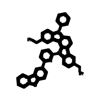 CC(C)Cc1ccc2c(c1)c1c(ccc3c4cc(CC(C)C)ccc4n(-c4cccc(-c5ccc6oc7ccccc7c6c5)n4)c31)n2-c1ccccc1